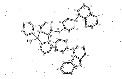 CC1(c2ccccc2)c2ccccc2-c2c(N(c3ccc(-c4cccc5ccccc45)cc3)c3cccc(-c4cccc5sc6ccccc6c45)c3)cccc21